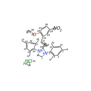 Cc1cc(C)c(N2CCN(c3c(C)cc(C)cc3C)[C]2=[Ru]=[CH]c2cc([N+](=O)[O-])ccc2OC(C)C)c(C)c1.Cl.Cl